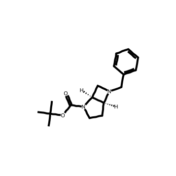 CC(C)(C)OC(=O)N1CC[C@H]2[C@@H]1CN2Cc1ccccc1